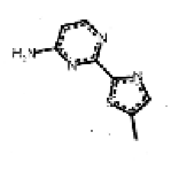 Cc1cnc(-c2nccc(N)n2)s1